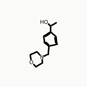 CC(O)c1ccc(CN2CCOCC2)cc1